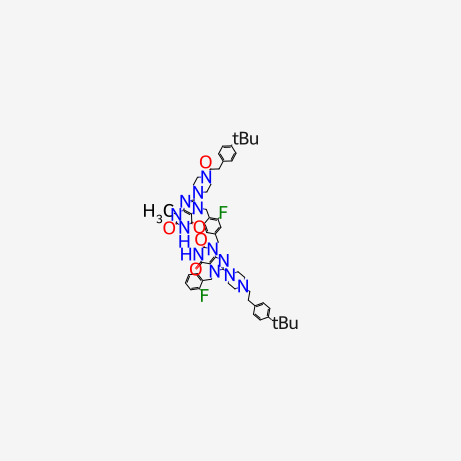 Cn1c(=O)[nH]c(=O)c2c1nc(N1CCN(C(=O)Cc3ccc(C(C)(C)C)cc3)CC1)n2Cc1ccc(Cn2c(=O)[nH]c(=O)c3c2nc(N2CCN(CCc4ccc(C(C)(C)C)cc4)CC2)n3Cc2ccccc2F)cc1F